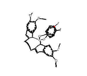 COc1cc2c(cc1OC)[CH]1C(=C2)CCC2=Cc3cc(OC)c(OC)cc3[CH]2[Zr]1([O]c1ccc(F)cc1)[O]c1ccc(F)cc1